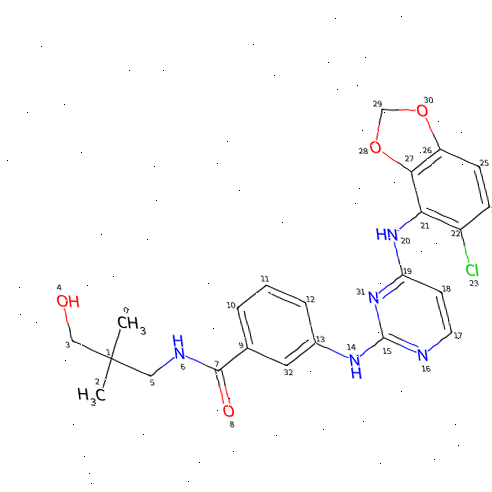 CC(C)(CO)CNC(=O)c1cccc(Nc2nccc(Nc3c(Cl)ccc4c3OCO4)n2)c1